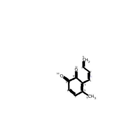 C=C/C=C\C1=C(C)C=CC(=O)C1=O